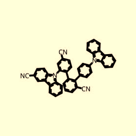 N#Cc1ccc(-c2cccc(C#N)c2-c2ccc(-n3c4ccccc4c4ccccc43)cc2)c(-n2c3ccccc3c3cc(C#N)ccc32)c1